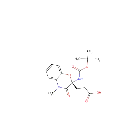 CN1C(=O)[C@@](CCC(=O)O)(NC(=O)OC(C)(C)C)Oc2ccccc21